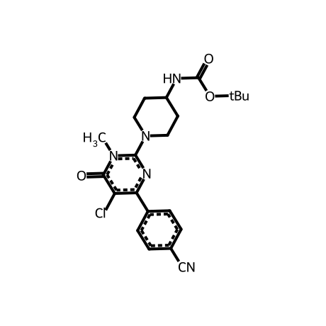 Cn1c(N2CCC(NC(=O)OC(C)(C)C)CC2)nc(-c2ccc(C#N)cc2)c(Cl)c1=O